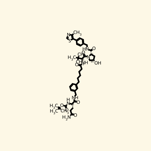 Cc1ncsc1-c1ccc(CNC(=O)[C@@H]2C[C@@H](O)CN2C(=O)[C@@H](NC(=O)CCCCCc2cccc(CNC(=O)[C@H](CCC(N)=O)NC(=O)OC(C)(C)C)c2)C(C)(C)C)cc1